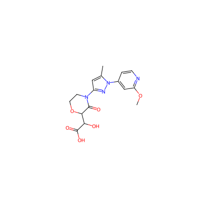 COc1cc(-n2nc(N3CCOC(C(O)C(=O)O)C3=O)cc2C)ccn1